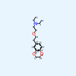 CCN(CC)CCOCCc1ccc2c(c1)OCCO2